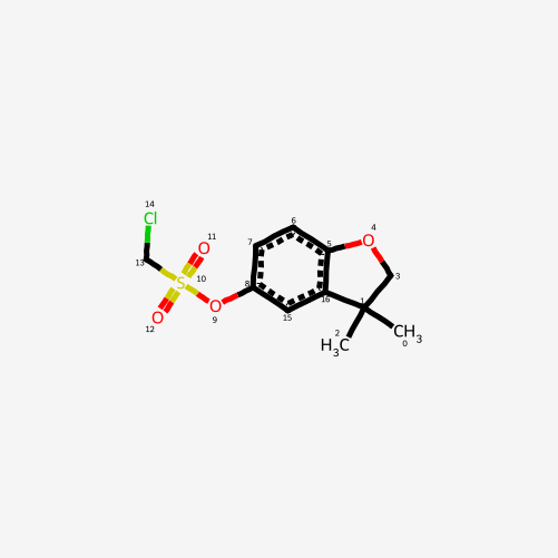 CC1(C)COc2ccc(OS(=O)(=O)CCl)cc21